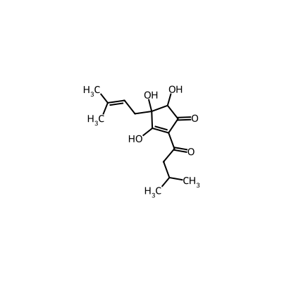 CC(C)=CCC1(O)C(O)=C(C(=O)CC(C)C)C(=O)C1O